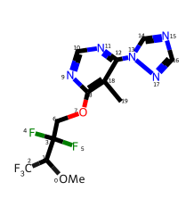 COC(C(F)(F)F)C(F)(F)COc1ncnc(-n2cncn2)c1C